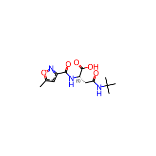 Cc1cc(C(=O)N[C@@H](CC(=O)NC(C)(C)C)C(=O)O)no1